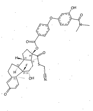 CN(C)C(=O)c1ccc(Oc2ccc(C(=O)O[C@]3(C(=O)SCC#N)CC[C@H]4[C@@H]5CCC6=CC(=O)C=C[C@]6(C)[C@@]5(F)[C@@H](O)C[C@@]43C)cc2)cc1O